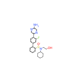 Nc1cnc(-c2ccc(-c3ccccc3[S+]([O-])N(CCO)C3CCCCC3)cc2F)cn1